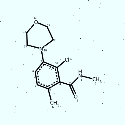 CNC(=O)c1c(C)ccc(N2CCOCC2)c1Cl